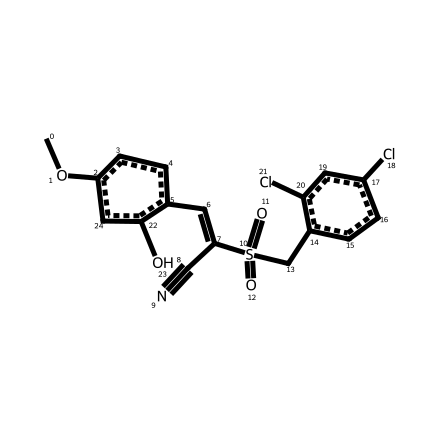 COc1ccc(/C=C(\C#N)S(=O)(=O)Cc2ccc(Cl)cc2Cl)c(O)c1